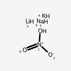 O=[N+]([O-])O.[KH].[LiH].[NaH]